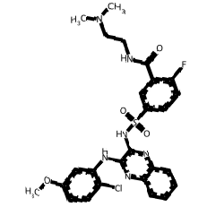 COc1ccc(Cl)c(Nc2nc3ccccc3nc2NS(=O)(=O)c2ccc(F)c(C(=O)NCCN(C)C)c2)c1